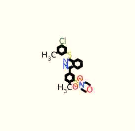 Cc1cc(Cl)cc(Sc2nnc(-c3ccc(C)c(S(=O)(=O)N4CCOCC4)c3)c3ccccc23)c1